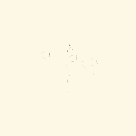 CC(C)CNC(=O)CC[C@H](O)[C@H](COc1cc(F)cc(F)c1)NC(=O)c1cc(C(=O)N[C@H](C)c2ccccc2)cc(N(C)S(C)(=O)=O)c1